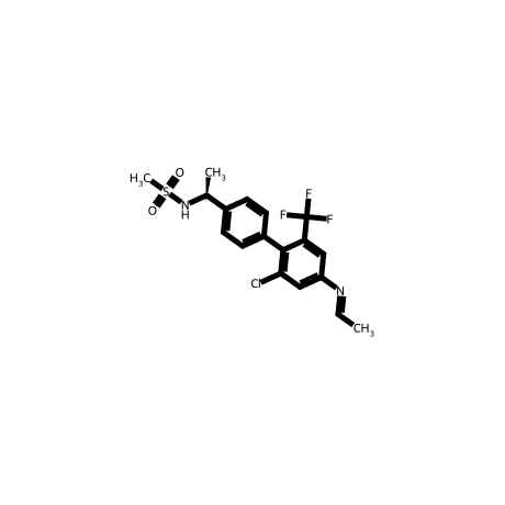 CC=Nc1cc(Cl)c(-c2ccc([C@H](C)NS(C)(=O)=O)cc2)c(C(F)(F)F)c1